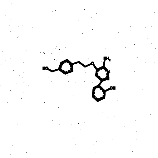 Nc1nnc(-c2ccccc2O)cc1OCCc1ccc(CO)cc1